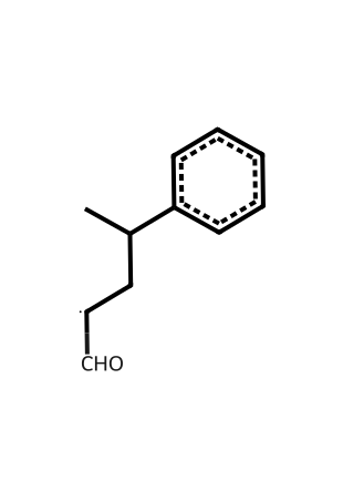 CC(C[CH]C=O)c1ccccc1